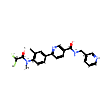 Cc1cc(-c2ccc(C(=O)NCc3cccnc3)cn2)ccc1N(C(=O)C(F)F)C(C)C